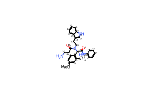 COc1ccc(C(C(=O)Nc2ccccc2)N(CCc2c[nH]c3ccccc23)C(=O)CCN)c(C)c1